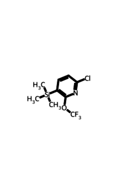 C[Si](C)(C)c1ccc(Cl)nc1OC(F)(F)F